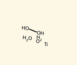 O.O.OO.[Ti]